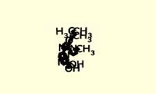 Cc1cccc(-c2c(-c3ccc4ncc(B(O)O)cc4n3)ncn2COCCS(C)(C)C)n1